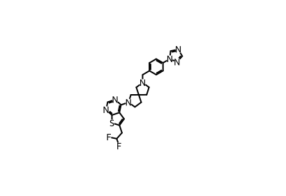 FC(F)Cc1cc2c(N3CCC4(CCN(Cc5ccc(-n6cncn6)cc5)C4)C3)ncnc2s1